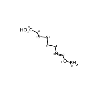 BOC=NCCSSCC(=O)O